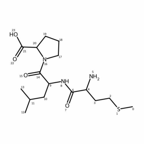 CSCCC(N)C(=O)NC(CC(C)C)C(=O)N1CCCC1C(=O)O